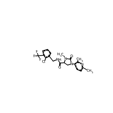 Cc1ccc(N2CC(C(=O)NCc3cccc(C(F)(F)F)c3Cl)N(C)C2=O)c(C)n1